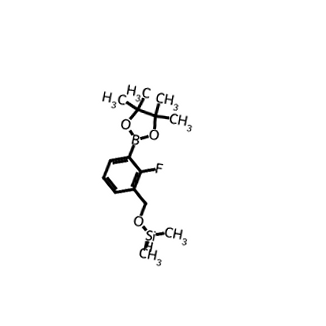 C[SiH](C)OCc1cccc(B2OC(C)(C)C(C)(C)O2)c1F